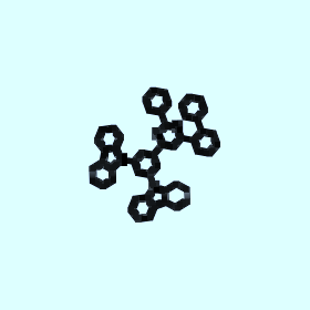 C1=Cc2c(n(-c3cc(-c4cc(-c5ccccc5-c5ccccc5)nc(-c5ccccc5)n4)cc(-n4c5ccccc5c5ccccc54)c3)c3ccccc23)CC1